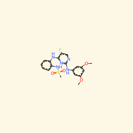 COc1cc(Nc2ncc(F)c(Nc3ccccc3NS(C)(=O)=O)n2)cc(OC)c1